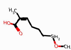 CO[SiH2]CCCC=C(C)C(=O)O